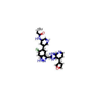 CC(C)(C)CC(=O)Nc1cncc(-c2cc3c(-c4nc5c(-c6ccoc6)ccnc5[nH]4)n[nH]c3cc2F)c1